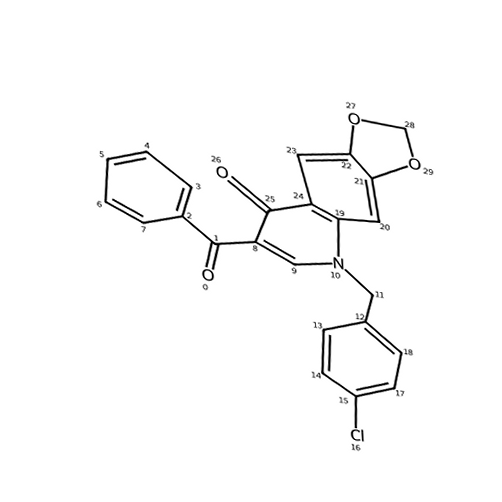 O=C(c1ccccc1)c1cn(Cc2ccc(Cl)cc2)c2cc3c(cc2c1=O)OCO3